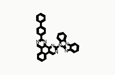 c1ccc(-c2ccc(-c3ncc4c5ccccc5c5cnc(-n6c7ccccc7n7c8ccccc8nc67)nc5c4n3)cc2)cc1